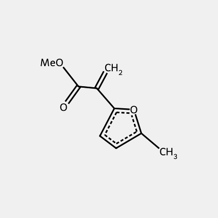 C=C(C(=O)OC)c1ccc(C)o1